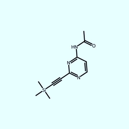 CC(=O)Nc1ccnc(C#C[Si](C)(C)C)n1